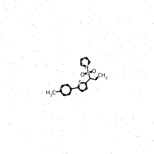 C=CC(c1ccc(-c2ccc(C)cc2)s1)S(=O)(=O)n1cccc1